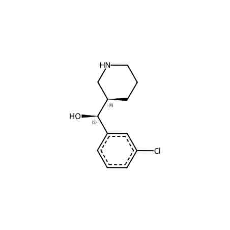 O[C@H](c1cccc(Cl)c1)[C@@H]1CCCNC1